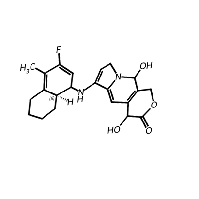 CC1=C2CCCC[C@@H]2C(NC2=CCN3C2=CC2=C(COC(=O)C2O)C3O)C=C1F